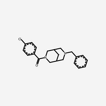 O=C(c1ccc(Cl)cc1)N1CC2[CH]C(CN(Cc3ccccc3)C2)C1